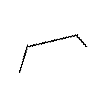 CCCCCCCCCCCCCCCCCCC(C)CCCCCCCCCCCCCCCCCCCCCCCCCCCCCCCCC(C)CCCCCCCCCC